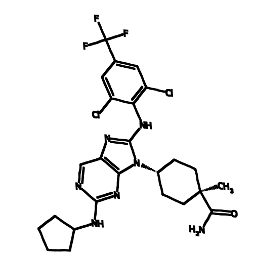 C[C@]1(C(N)=O)CC[C@H](n2c(Nc3c(Cl)cc(C(F)(F)F)cc3Cl)nc3cnc(NC4CCCC4)nc32)CC1